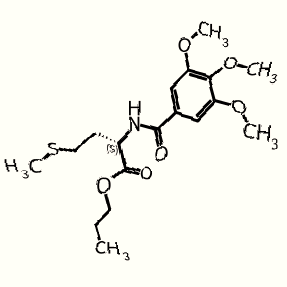 CCCOC(=O)[C@H](CCSC)NC(=O)c1cc(OC)c(OC)c(OC)c1